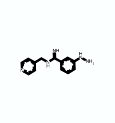 N=C(NCc1ccncc1)c1cccc(NN)c1